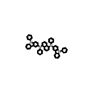 C1=CCC(N2c3ccc(N(C4=CC=CC5C(N(C6=CCCC=C6)c6ccc7c(c6)C6C=CC=CC6N7c6ccccc6)=CC=CC45)c4ccccc4)cc3C3C=CC=CC32)C=C1